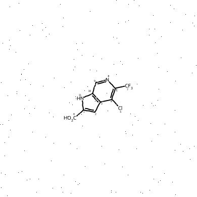 O=C(O)c1cc2c(Cl)c(C(F)(F)F)ncc2[nH]1